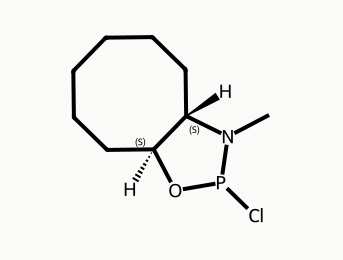 CN1[C@H]2CCCCCC[C@@H]2OP1Cl